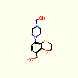 OCc1ccc(N2CCN(CO)CC2)c2c1OCCO2